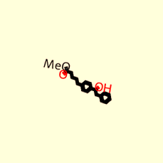 COC(=O)CCCCc1ccc(C(O)Cc2ccccc2)cc1